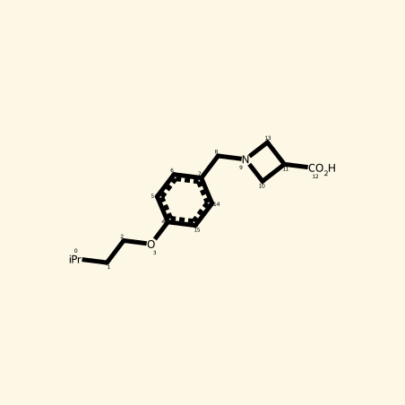 CC(C)CCOc1ccc(CN2CC(C(=O)O)C2)cc1